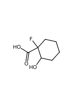 O=C(O)C1(F)CCCCC1O